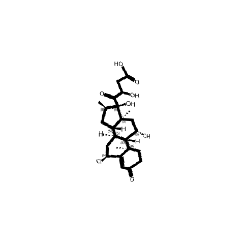 C[C@@H]1C[C@H]2[C@@H]3C[C@H](Cl)C4=CC(=O)CC[C@]4(C)[C@H]3[C@@H](O)C[C@]2(C)[C@@]1(O)C(=O)C(O)CC(=O)O